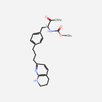 COC(=O)[C@H](Cc1ccc(CCCc2ccc3c(n2)NCCC3)cc1)NC(=O)OC(C)(C)C